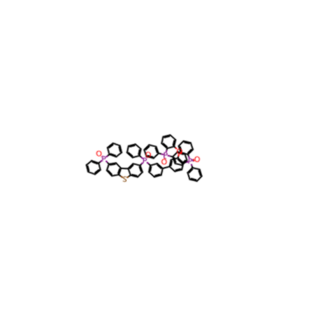 O=P(c1ccccc1)(c1ccccc1)c1ccc2sc3ccc(P(=O)(c4ccccc4)c4cccc(-c5ccc(P(=O)(c6ccccc6)c6ccccc6)c(Oc6ccccc6P(=O)(c6ccccc6)c6ccccc6)c5)c4)cc3c2c1